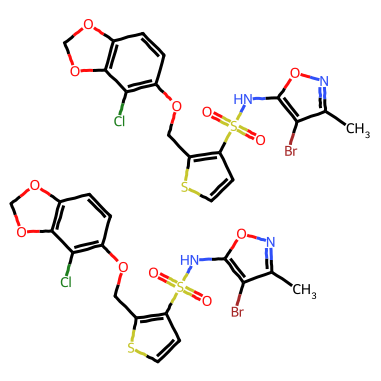 Cc1noc(NS(=O)(=O)c2ccsc2COc2ccc3c(c2Cl)OCO3)c1Br.Cc1noc(NS(=O)(=O)c2ccsc2COc2ccc3c(c2Cl)OCO3)c1Br